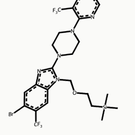 C[Si](C)(C)CCOCn1c(N2CCN(c3ncccc3C(F)(F)F)CC2)nc2cc(Br)c(C(F)(F)F)cc21